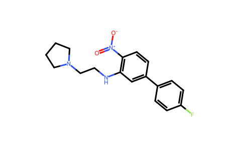 O=[N+]([O-])c1ccc(-c2ccc(F)cc2)cc1NCCN1CCCC1